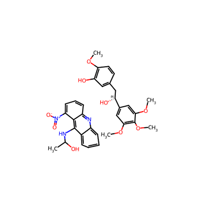 CC(O)Nc1c2ccccc2nc2cccc([N+](=O)[O-])c12.COc1ccc(C[C@@H](O)c2cc(OC)c(OC)c(OC)c2)cc1O